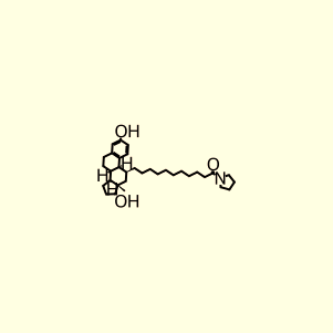 C[C@]12C[C@H](CCCCCCCCCCC(=O)N3CCCC3)[C@@H]3c4ccc(O)cc4CC[C@H]3[C@@H]1CC[C@@H]2O